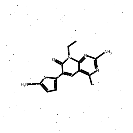 CCn1c(=O)c(-c2ccc(N)s2)cc2c(C)nc(N)nc21